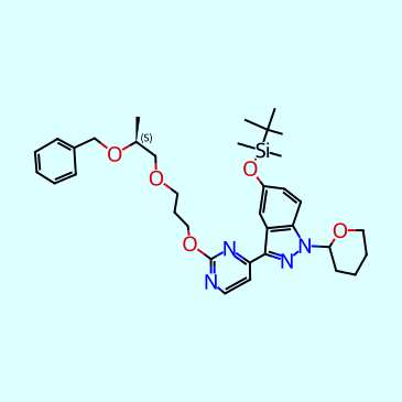 C[C@@H](COCCCOc1nccc(-c2nn(C3CCCCO3)c3ccc(O[Si](C)(C)C(C)(C)C)cc23)n1)OCc1ccccc1